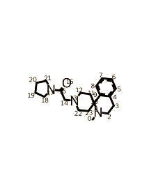 CN1CCc2ccccc2C12CCN(CC(=O)N1CCCC1)CC2